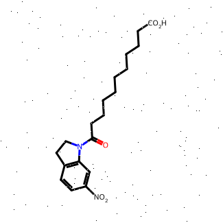 O=C(O)CCCCCCCCCC(=O)N1CCc2ccc([N+](=O)[O-])cc21